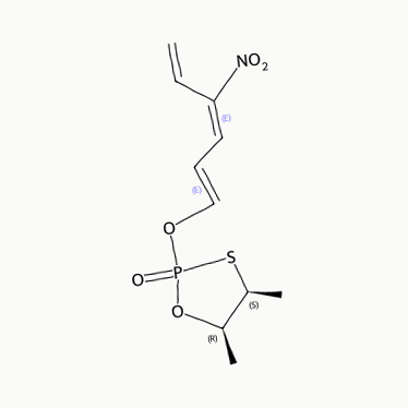 C=C/C(=C\C=C\OP1(=O)O[C@H](C)[C@H](C)S1)[N+](=O)[O-]